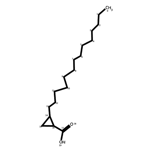 CCCCCCCCCCCCCCC1CC1C(=O)O